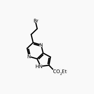 CCOC(=O)c1cc2nc(CCBr)cnc2[nH]1